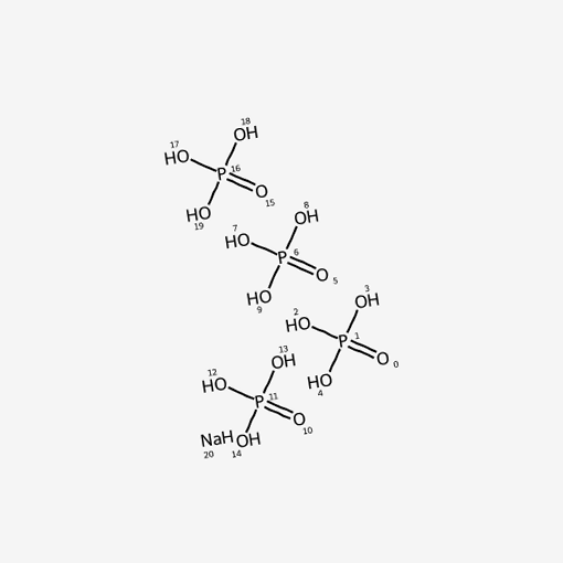 O=P(O)(O)O.O=P(O)(O)O.O=P(O)(O)O.O=P(O)(O)O.[NaH]